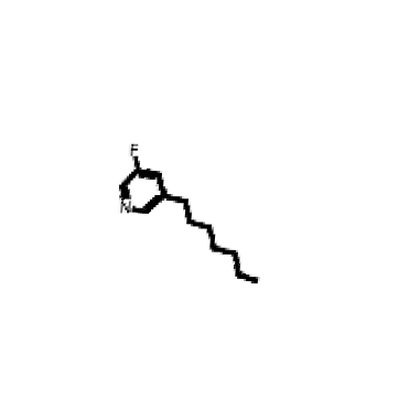 CCCCCCCc1cncc(F)c1